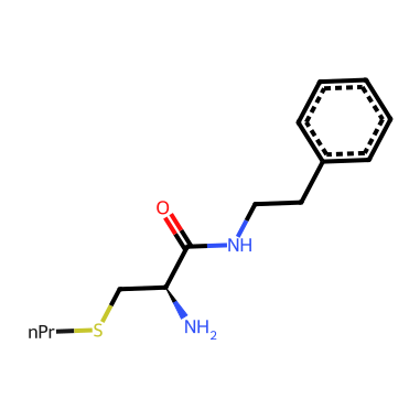 [CH2][CH]CSC[C@H](N)C(=O)NCCc1ccccc1